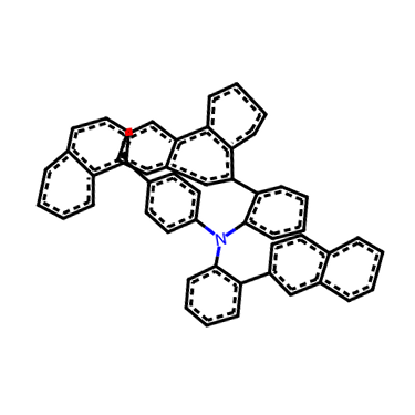 c1ccc(N(c2ccc(-c3cccc4ccccc34)cc2)c2ccccc2-c2cc3ccccc3c3ccccc23)c(-c2ccc3ccccc3c2)c1